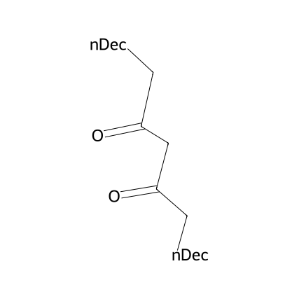 CCCCCCCCCCCC(=O)CC(=O)CCCCCCCCCCC